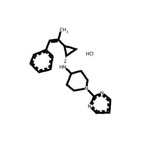 CC(=Cc1ccccc1)C1C[C@@H]1NC1CCN(c2ncccn2)CC1.Cl